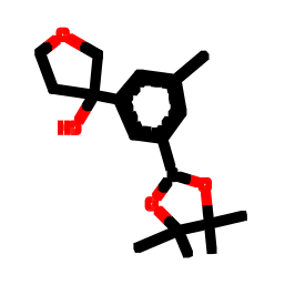 Cc1cc(B2OC(C)(C)C(C)(C)O2)cc(C2(O)CCOC2)c1